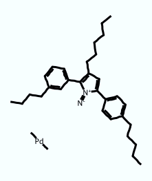 CCCCCCC1=C(c2cccc(CCCC)c2)[N+](=[N-])C(c2ccc(CCCCC)cc2)=C1.[CH3][Pd][CH3]